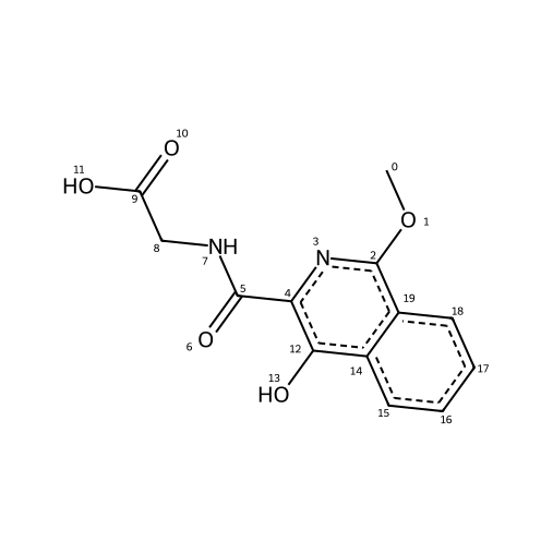 COc1nc(C(=O)NCC(=O)O)c(O)c2ccccc12